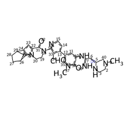 CN1CCN/C(=C\C(=N)Nc2cc(-c3ccnc(N4CCn5c(cc6c5C5CCC6C5)C4=O)c3C=O)cn(C)c2=O)C1